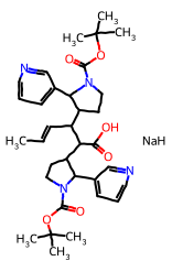 CC=CC(C1CCN(C(=O)OC(C)(C)C)C1c1cccnc1)C(C(=O)O)C1CCN(C(=O)OC(C)(C)C)C1c1cccnc1.[NaH]